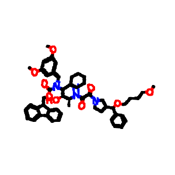 COCCCCOC(c1ccccc1)C1CCN(C(=O)C(=O)N[C@@H](C)[C@@H](O)C(C2CCCCC2)N(Cc2cc(OC)cc(OC)c2)C(=O)OCC2c3ccccc3-c3ccccc32)C1